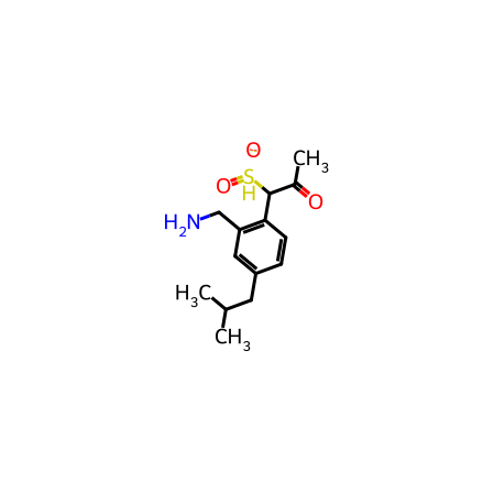 CC(=O)C(c1ccc(CC(C)C)cc1CN)[SH](=O)=O